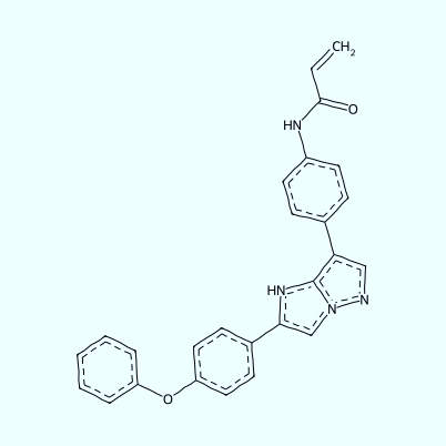 C=CC(=O)Nc1ccc(-c2cnn3cc(-c4ccc(Oc5ccccc5)cc4)[nH]c23)cc1